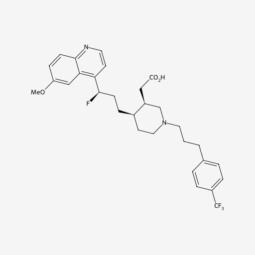 COc1ccc2nccc([C@H](F)CC[C@@H]3CCN(CCCc4ccc(C(F)(F)F)cc4)C[C@@H]3CC(=O)O)c2c1